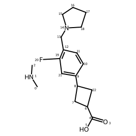 CNC.O=C(O)C1CC(c2ccc(CN3CCCC3)c(F)c2)C1